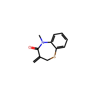 C=C1CSc2ccccc2N(C)C1=O